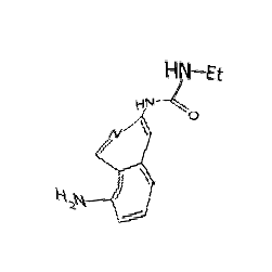 CCNC(=O)Nc1cc2cccc(N)c2cn1